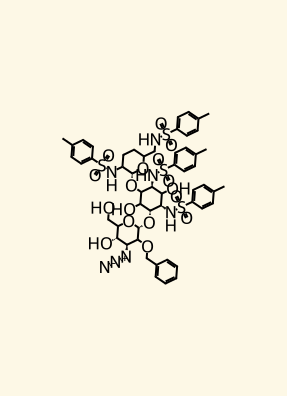 Cc1ccc(S(=O)(=O)NCC2CCC(NS(=O)(=O)c3ccc(C)cc3)[C@@H](OC3C(O)[C@@H](O[C@H]4OC(CO)[C@@H](O)[C@H](N=[N+]=[N-])C4OCc4ccccc4)[C@H](NS(=O)(=O)c4ccc(C)cc4)C(O)[C@@H]3NS(=O)(=O)c3ccc(C)cc3)O2)cc1